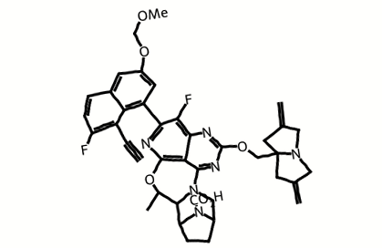 C#Cc1c(F)ccc2cc(OCOC)cc(-c3nc4c5c(nc(OCC67CC(=C)CN6CC(=C)C7)nc5c3F)N3CC5CCC(C3C(C)O4)N5C(=O)O)c12